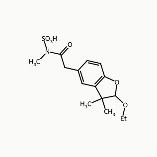 CCOC1Oc2ccc(CC(=O)N(C)S(=O)(=O)O)cc2C1(C)C